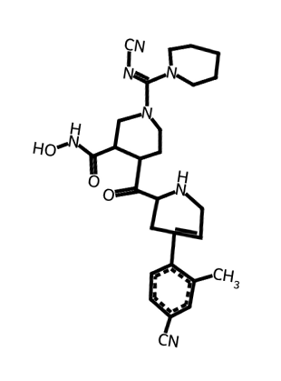 Cc1cc(C#N)ccc1C1=CCNC(C(=O)C2CCN(/C(=N/C#N)N3CCCCC3)CC2C(=O)NO)C1